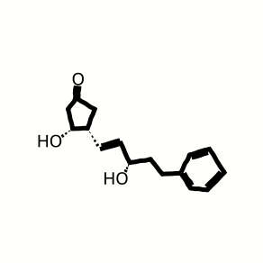 O=C1C[C@@H](O)[C@@H](/C=C/[C@@H](O)CCc2ccccc2)C1